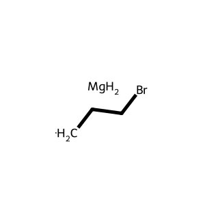 [CH2]CCBr.[MgH2]